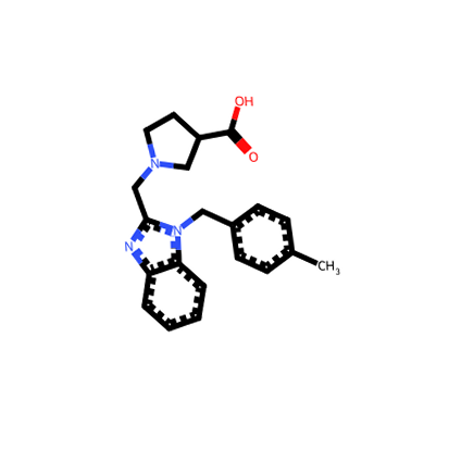 Cc1ccc(Cn2c(CN3CCC(C(=O)O)C3)nc3ccccc32)cc1